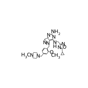 COc1cc(CN2CCN(C)CC2)ccc1Cn1ncc2nc(N)nc(NCc3noc(C4CC4)n3)c21